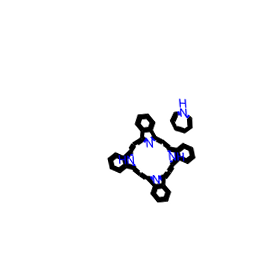 C1=CC=CNC=C1.c1ccc2c(c1)-c1cc3[nH]c(cc4nc(cc5[nH]c(cc-2n1)c1ccccc51)-c1ccccc1-4)c1ccccc31